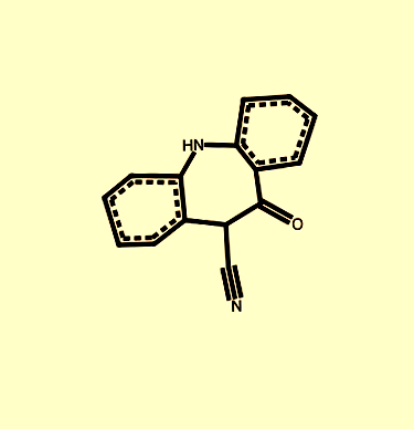 N#CC1C(=O)c2ccccc2Nc2ccccc21